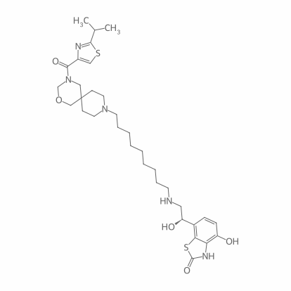 CC(C)c1nc(C(=O)N2COCC3(CCN(CCCCCCCCCNC[C@H](O)c4ccc(O)c5[nH]c(=O)sc45)CC3)C2)cs1